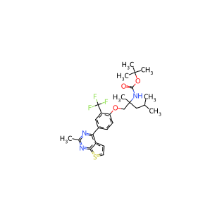 Cc1nc(-c2ccc(OCC(C)(CC(C)C)NC(=O)OC(C)(C)C)c(C(F)(F)F)c2)c2ccsc2n1